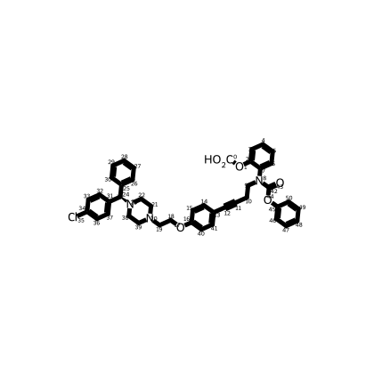 O=C(O)Oc1ccccc1N(CCC#Cc1ccc(OCCN2CCN([C@H](c3ccccc3)c3ccc(Cl)cc3)CC2)cc1)C(=O)Oc1ccccc1